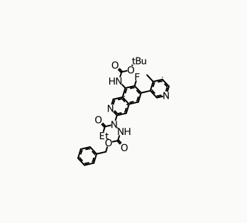 CCC(=O)N(NC(=O)OCc1ccccc1)c1cc2cc(-c3cnc[c]c3C)c(F)c(NC(=O)OC(C)(C)C)c2cn1